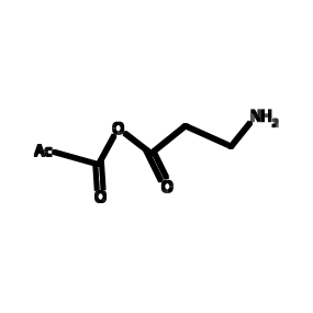 CC(=O)C(=O)OC(=O)CCN